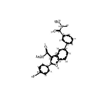 CNC(=O)c1c(-c2ccc(F)cc2)oc2ccc(-c3cccc(C(=O)N(C)C(C)(C)C)c3)cc12